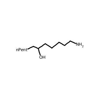 CCCCCCC(O)CCCCCN